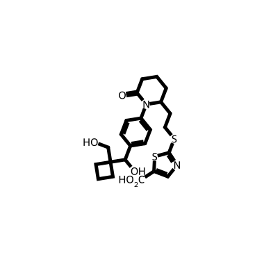 O=C(O)c1cnc(SCCC2CCCC(=O)N2c2ccc(C(O)C3(CO)CCC3)cc2)s1